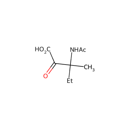 CCC(C)(NC(C)=O)C(=O)C(=O)O